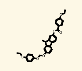 CCOc1ccc(OCOc2ccc3c(c2)C(C)c2cc(OC(=O)c4ccc(OCC)cc4)ccc2-3)cc1